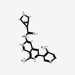 Cc1ccncc1-c1cc2cc(NC(=O)C3C4COCC43)ncc2c(N)n1